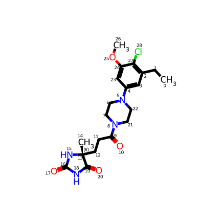 CCc1cc(N2CCN(C(=O)CC[C@@]3(C)NC(=O)NC3=O)CC2)cc(OC)c1Cl